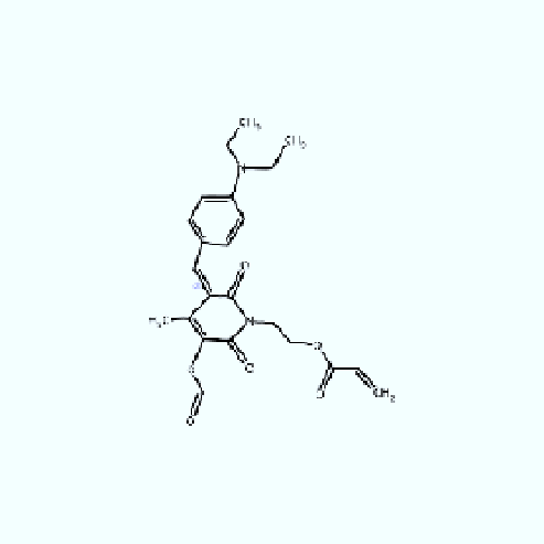 C=CC(=O)OCCN1C(=O)C(OC=O)=C(C)/C(=C/c2ccc(N(CC)CC)cc2)C1=O